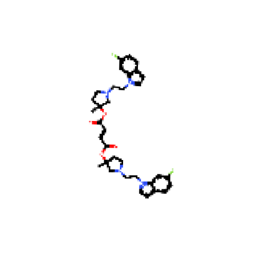 CC1(OC(=O)/C=C/C(=O)OC2(C)CCN(CCn3ccc4ccc(F)cc43)C2)CCN(CCn2ccc3ccc(F)cc32)C1